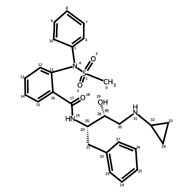 CS(=O)(=O)N(c1ccccc1)c1ccccc1C(=O)N[C@@H](Cc1ccccc1)[C@H](O)CNC1CC1